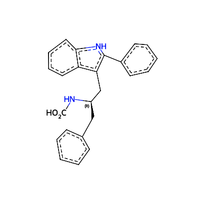 O=C(O)N[C@H](Cc1ccccc1)Cc1c(-c2ccccc2)[nH]c2ccccc12